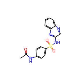 CC(=O)Nc1ccc(S(=O)(=O)Nc2cnc3ccccc3n2)cc1